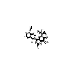 COc1c(=O)n(C2(C(F)(F)F)CC2)cc2c(N[C@H](C)c3cccc(C#N)c3C)nc(C)nc12